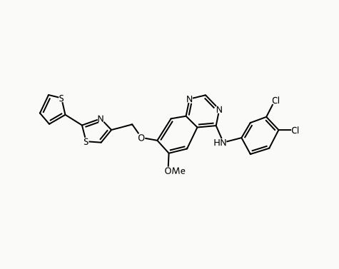 COc1cc2c(Nc3ccc(Cl)c(Cl)c3)ncnc2cc1OCc1csc(-c2cccs2)n1